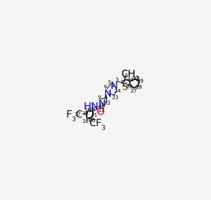 Cc1c(CN2CCN(C3CN(C(=O)Nc4cc(C(F)(F)F)cc(C(F)(F)F)c4)C3)CC2)sc2ccccc12